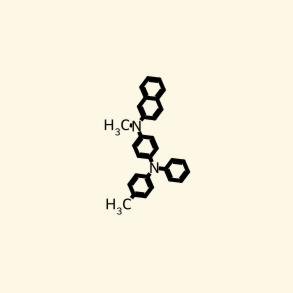 Cc1ccc(N(c2ccccc2)c2ccc(N(C)c3ccc4ccccc4c3)cc2)cc1